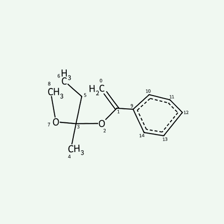 C=C(OC(C)(CC)OC)c1ccccc1